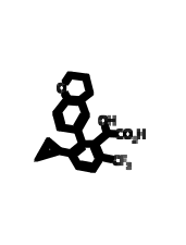 O=C(O)C(O)c1c(C(F)(F)F)ccc(C2CC2)c1-c1ccc2c(c1)CCCO2